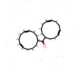 O=C(C1CCC=CCCC=CCCC1)C1CCC=CCCC=CCCC1